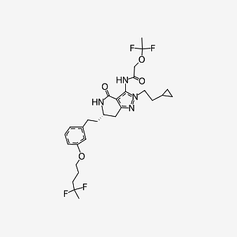 CC(F)(F)CCCOc1cccc(CC[C@H]2Cc3nn(CCC4CC4)c(NC(=O)COC(C)(F)F)c3C(=O)N2)c1